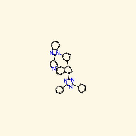 c1ccc(-c2nc(-c3ccccc3)nc(-c3ccc(-c4cccc(-n5c(-c6ccncc6)nc6ccccc65)c4)c4ccccc34)n2)cc1